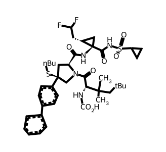 CCCCS[C@@]1(c2ccc(-c3ccccc3)cc2)C[C@@H](C(=O)N[C@]2(C(=O)NS(=O)(=O)C3CC3)C[C@H]2CC(F)F)N(C(=O)[C@@H](NC(=O)O)C(C)(C)CC(C)(C)C)C1